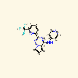 FC(F)(F)c1cccc(-c2nc(Nc3ccncc3)c3cccn3n2)n1